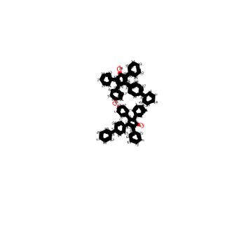 O=C1C(c2ccccc2)=C(c2ccc(Oc3ccc(C4=C(c5ccccc5)C(=O)C(c5ccccc5)=C4c4ccc(-c5ccccc5)cc4)cc3)cc2)C(c2ccc(-c3ccccc3)cc2)=C1c1ccccc1